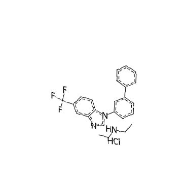 CCNCC.Cl.FC(F)(F)c1ccc2c(c1)ncn2-c1cccc(-c2ccccc2)c1